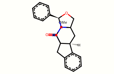 COC1NC23Cc4ccccc4[C@@H]2CC12CO[C@H](c1ccccc1)N2C3=O